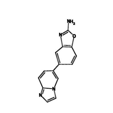 Nc1nc2cc(-c3ccc4nccn4c3)ccc2o1